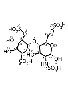 O=C(O)[C@@H]1O[C@@H](O[C@H]2[C@H](O)[C@@H](NS(=O)(=O)O)[C@@H](O)O[C@@H]2COS(=O)(=O)O)[C@H](OS(=O)(=O)O)[C@@H](O)[C@@H]1O